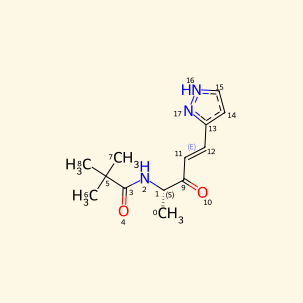 C[C@H](NC(=O)C(C)(C)C)C(=O)/C=C/c1cc[nH]n1